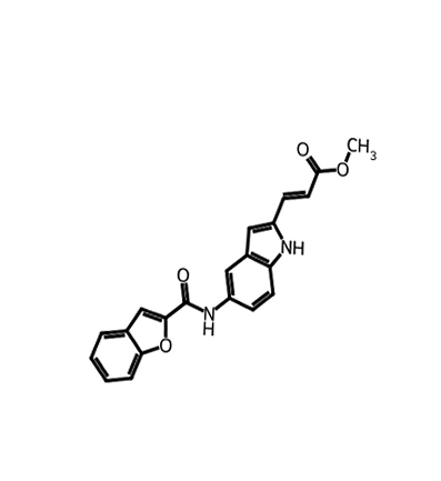 COC(=O)C=Cc1cc2cc(NC(=O)c3cc4ccccc4o3)ccc2[nH]1